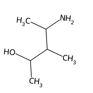 CC(N)C(C)C(C)O